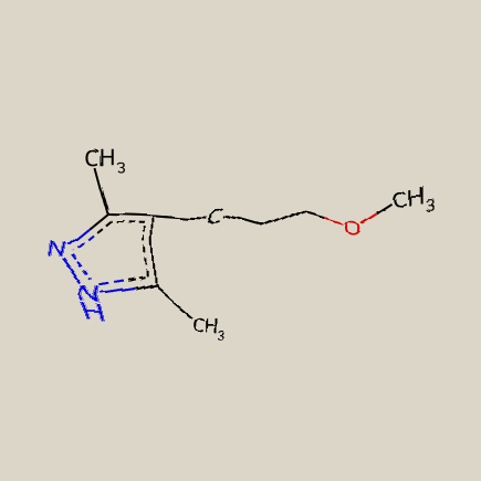 COCCCc1c(C)n[nH]c1C